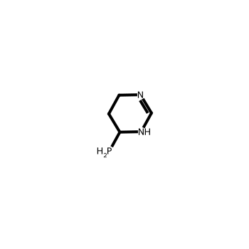 PC1CCN=CN1